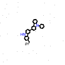 CC(C)Cc1ccc2[nH]c3ccc(-c4ccc5c(c4)c4ccccc4n5-c4ccccc4)cc3c2c1